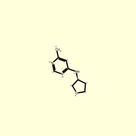 Cc1cc(N[C@H]2CCOC2)ncn1